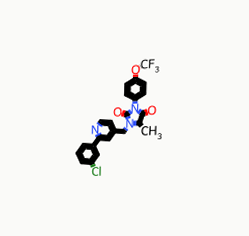 CC1C(=O)N(c2ccc(OC(F)(F)F)cc2)C(=O)N1Cc1ccnc(-c2cccc(Cl)c2)c1